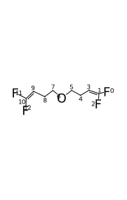 FC(F)=CCCOCCC=C(F)F